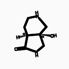 O=C1NC[C@]2(O)CNCC[C@H]12